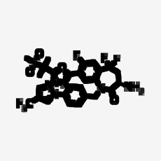 CC(C)(c1nnc(-c2cc3c(cc2F)C(F)(F)C[C@H](N)C(=O)N3Cc2ccc(-n3cc(C(F)(F)F)cn3)cc2)o1)S(C)(=O)=O